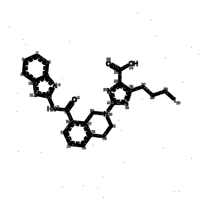 O=C(Nc1nc2ccccc2s1)c1cccc2c1CN(c1nc(C(=O)O)c(CCCI)s1)CC2